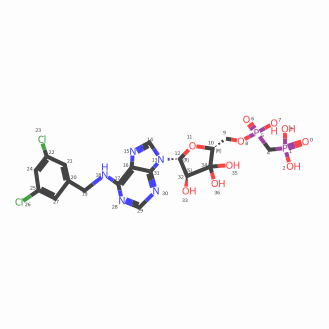 O=P(O)(O)CP(=O)(O)OC[C@H]1O[C@@H](n2cnc3c(NCc4cc(Cl)cc(Cl)c4)ncnc32)[C@H](O)C1(O)O